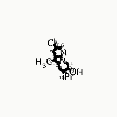 Cc1c2n(c3ncc(Cl)cc13)CC(O)C(C(C)C)C2